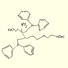 CCCCCCCCCCCCCCCCC(CP(c1ccccc1)c1ccccc1)C(N)(CP(c1ccccc1)c1ccccc1)S(=O)(=O)O